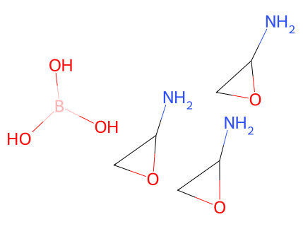 NC1CO1.NC1CO1.NC1CO1.OB(O)O